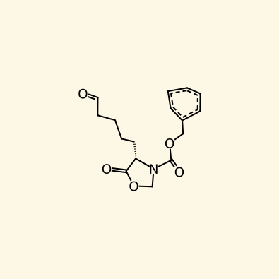 O=CCCCC[C@H]1C(=O)OCN1C(=O)OCc1ccccc1